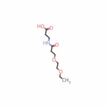 CCOCCOCCC(=O)NCCC(=O)O